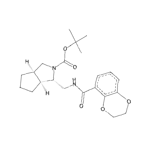 CC(C)(C)OC(=O)N1C[C@@H]2CCC[C@@H]2[C@H]1CNC(=O)c1cccc2c1OCCO2